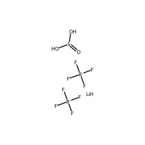 F[B-](F)(F)F.F[B-](F)(F)F.O=S(O)O.[LiH]